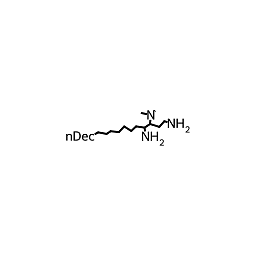 CCCCCCCCCCCCCCCCCC(N)C(CCN)N(C)C